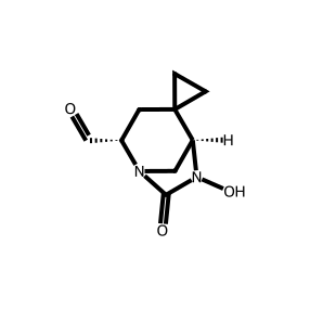 O=C[C@@H]1CC2(CC2)[C@@H]2CN1C(=O)N2O